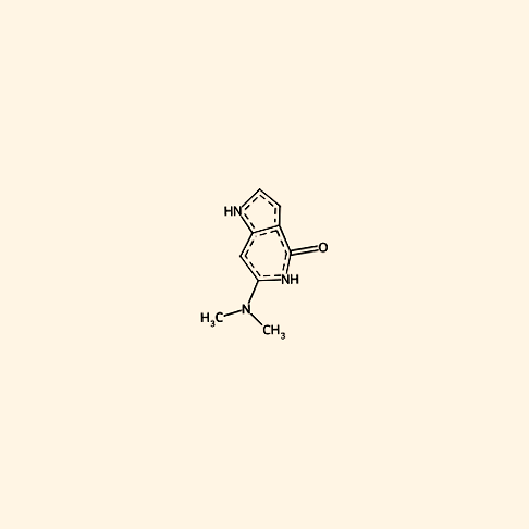 CN(C)c1cc2[nH]ccc2c(=O)[nH]1